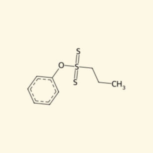 CCCS(=S)(=S)Oc1ccccc1